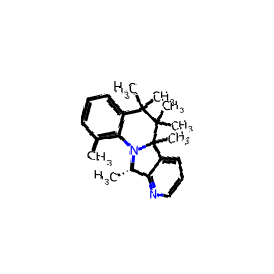 Cc1cccc2c1N1[C@@H](C)c3ncccc3C1(C)C(C)(C)C2(C)C